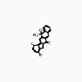 CC1(C)C2=CC3=C4C(=O)C=CC(Br)=C4C=C3C(=O)C2=Cc2ccccc21